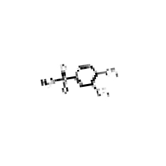 NS(=O)(=O)c1ccc(C(F)(F)F)c(C(F)(F)F)c1